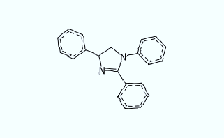 c1ccc(C2=NC(c3ccccc3)CN2c2ccccc2)cc1